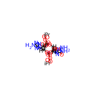 CC(C)OC(=O)OCO[P@]1(=O)OC[C@@]23C[C@@H]2[C@@H](n2cnc4c(N)ncnc42)[C@H](O)[C@@H]3O[P@](=O)(SCOC(=O)OC(C)C)OC[C@H]2O[C@@H](n3cnc4c(=O)[nH]c(N)nc43)[C@H](O1)[C@@H]2O